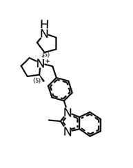 Cc1nc2ccccc2n1-c1ccc(C[N+]2([C@H]3CCNC3)CCC[C@@H]2C)cc1